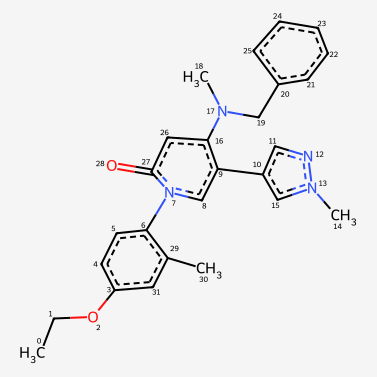 CCOc1ccc(-n2cc(-c3cnn(C)c3)c(N(C)Cc3ccccc3)cc2=O)c(C)c1